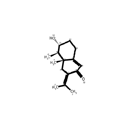 CC(C)=C1C[C@@]2(C)C(=CC1=O)CC[C@@H](O)[C@@H]2C